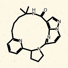 CC1(C)CCCc2cccc(n2)C2CCCN2c2ccn3ncc(c3n2)C(=O)N1